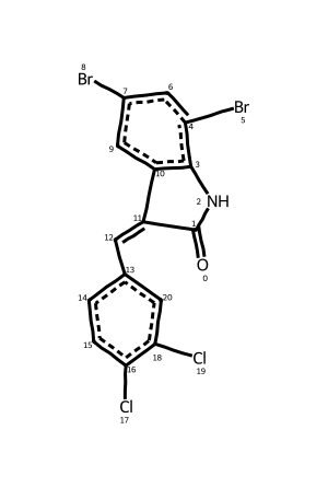 O=C1Nc2c(Br)cc(Br)cc2C1=Cc1ccc(Cl)c(Cl)c1